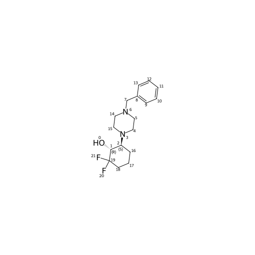 O[C@@H]1[C@@H](N2CCN(Cc3ccccc3)CC2)CCCC1(F)F